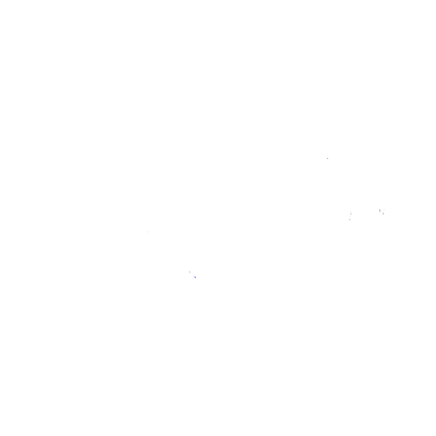 c1ccc(-c2ccc(N(c3cccc4c3oc3c(-c5cccc6c5-c5ccccc5C6(c5ccccc5)c5ccccc5)c5c(cc34)oc3ccccc35)c3cccc4c3sc3ccccc34)cc2)cc1